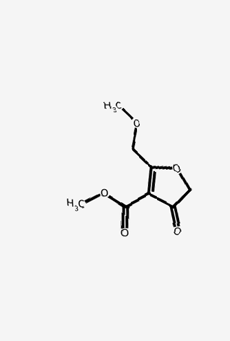 COCC1=C(C(=O)OC)C(=O)CO1